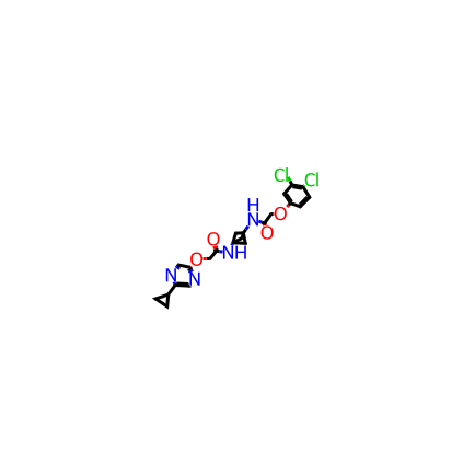 O=C(COc1ccc(Cl)c(Cl)c1)NC12CC(NC(=O)COc3cnc(C4CC4)cn3)(C1)C2